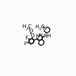 CCOCOc1c(-c2nnc(NC3CCCN(C)C3)c3c2CCCC3)ccc(F)c1F